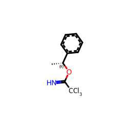 C[C@@H](OC(=N)C(Cl)(Cl)Cl)c1ccccc1